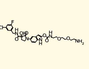 NCCOCCOCCNC(=O)Oc1cc2cc(N3CC[C@](O)(C(=O)NCc4cc(F)cc(Cl)c4)C3=O)ccc2[nH]1